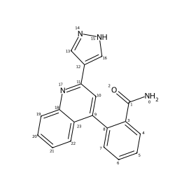 NC(=O)c1ccccc1-c1cc(-c2cn[nH]c2)nc2ccccc12